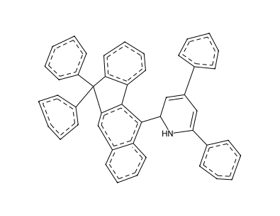 C1=C(c2ccccc2)C=C(c2ccccc2)NC1c1c2c(cc3ccccc13)C(c1ccccc1)(c1ccccc1)c1ccccc1-2